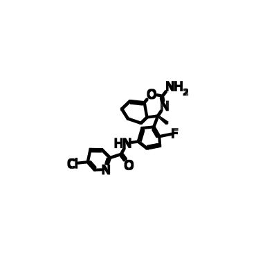 C[C@]1(c2cc(NC(=O)c3ccc(Cl)cn3)ccc2F)N=C(N)OC2=CCCCC21